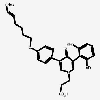 CCCCCCC=CCCCCOc1ccc(-c2cn(CCC(=O)O)cc(-c3c(CCC)cccc3CCC)c2=S)cc1